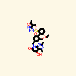 CCOCc1cc(Cn2c(=O)cc(O)c3c(C)nc(C)nc32)ccc1-c1ccccc1S(=O)(=O)Nc1noc(C)c1C